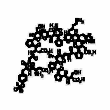 CC(C)[C@H](NC(=O)CNC(=O)[C@@H]1CCCN1C(=O)[C@H](CC(=O)O)NC(=O)[C@H](Cc1c[nH]cn1)NC(=O)[C@H](CCCCN)NC(=O)[C@@H]1CCCN1C(=O)[C@H](CC(N)=O)NC(=O)[C@H](C)NC(=O)[C@H](CO)NC(=O)[C@@H]1CCCN1C(=O)[C@H](CC(=O)O)NC(=O)CNC(=O)[C@H](Cc1ccc(OS(=O)(=O)F)cc1)NC(=O)[C@@H](N)CC(=O)O)C(=O)N1CCC[C@H]1C(=O)N1CCC[C@H]1C(=O)N[C@@H](CO)C(=O)O